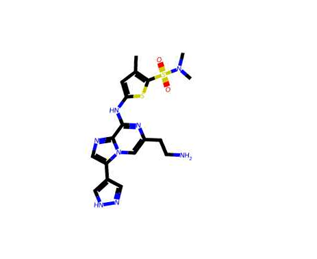 Cc1cc(Nc2nc(CCN)cn3c(-c4cn[nH]c4)cnc23)sc1S(=O)(=O)N(C)C